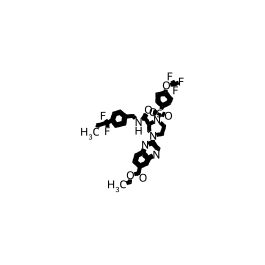 CCOC(=O)c1ccc2nc(N3CCN(S(=O)(=O)c4ccc(OC(F)(F)F)cc4)C(C(=O)NCc4ccc(C(F)(F)CC)cc4)C3)cnc2c1